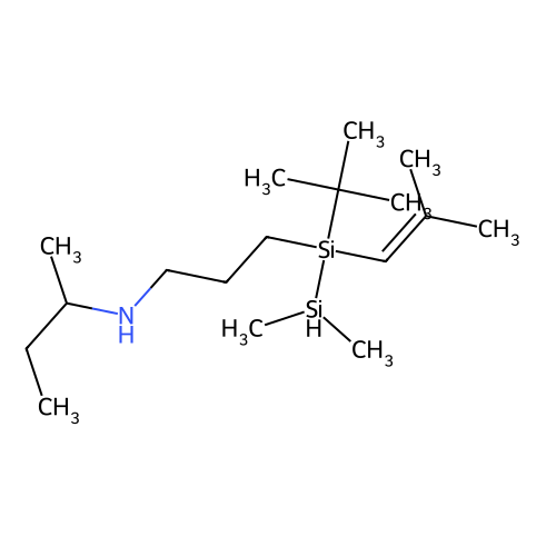 CCC(C)NCCC[Si](C=C(C)C)([SiH](C)C)C(C)(C)C